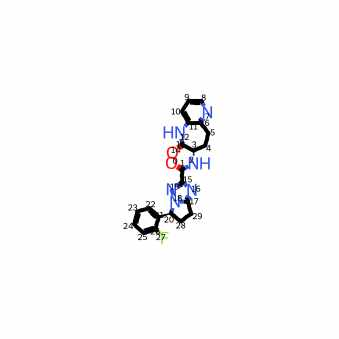 O=C(N[C@H]1CCc2ncccc2NC1=O)c1nc2n(n1)[C@H](c1ccccc1F)CC2